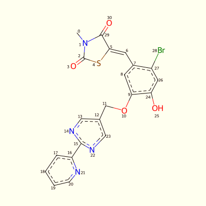 CN1C(=O)S/C(=C\c2cc(OCc3cnc(-c4ccccn4)nc3)c(O)cc2Br)C1=O